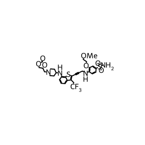 COCCOc1cc(S(N)(=O)=O)ccc1NCC#Cc1sc2c(NC3CCN(CC4COC(=O)O4)CC3)cccc2c1CC(F)(F)F